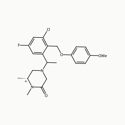 COc1ccc(OCc2c(Cl)cc(F)cc2C(C)N2CC(=O)N(C)[C@H](C)C2)cc1